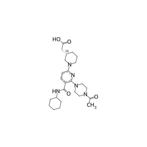 CC(=O)N1CCN(c2nc(N3CCC[C@@H](CC(=O)O)C3)ccc2C(=O)NC2CCCCC2)CC1